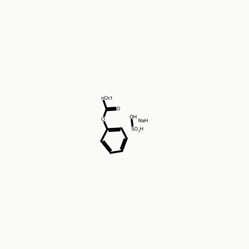 CCCCCCCCC(=O)Oc1ccccc1.O=S(=O)(O)O.[NaH]